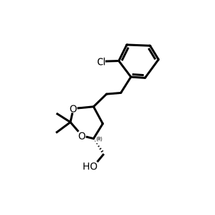 CC1(C)OC(CCc2ccccc2Cl)C[C@H](CO)O1